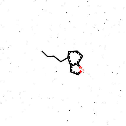 CCCCc1cccc2o[c]cc12